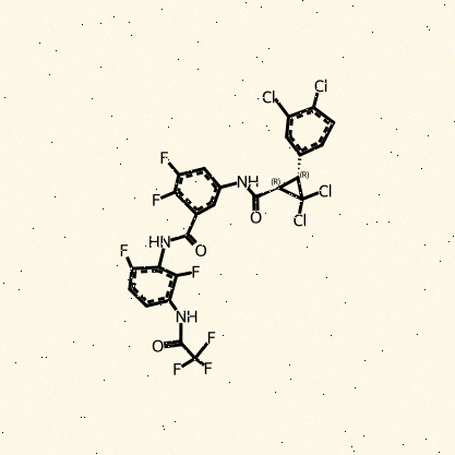 O=C(Nc1c(F)ccc(NC(=O)C(F)(F)F)c1F)c1cc(NC(=O)[C@H]2[C@H](c3ccc(Cl)c(Cl)c3)C2(Cl)Cl)cc(F)c1F